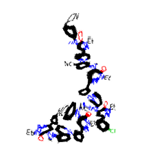 CCn1nc(-c2cccc(Cl)c2)cc(Nc2cccnc2)c1=O.CCn1nc(-c2ccccc2)cc(N(C(C)=O)c2ccc(C#N)cc2)c1=O.CCn1nc(-c2ccccc2)cc(N(C)c2ccc(C#N)cc2)c1=O.CCn1nc(-c2ccccc2)cc(N(C)c2cccc3ncccc23)c1=O.CCn1nc(-c2ccncc2)cc(Nc2ccc(C#N)cc2)c1=O